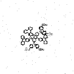 CC(C)(C)c1ccc2c(c1)c1cc(C(C)(C)C)ccc1n2-c1ccc2c(c1)N(c1ccc3c4ccccc4c4ccccc4c3c1)c1cc(-n3c4ccc(C(C)(C)C)cc4c4cc(C(C)(C)C)ccc43)cc3c1B2c1cc2c4ccccc4c4ccccc4c2cc1N3c1ccc2c3ccccc3c3ccccc3c2c1